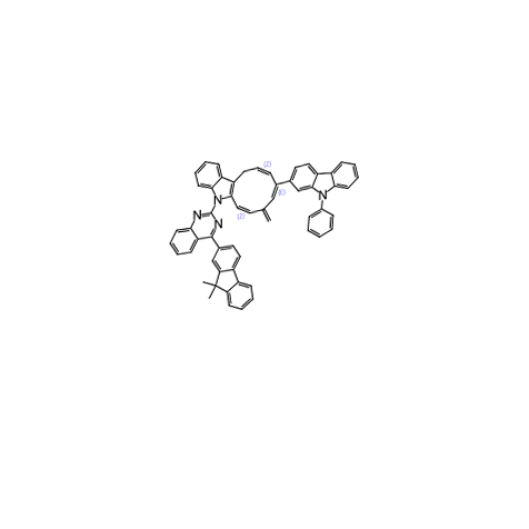 C=C1/C=C\c2c(c3ccccc3n2-c2nc(-c3ccc4c(c3)C(C)(C)c3ccccc3-4)c3ccccc3n2)C/C=C\C(c2ccc3c4ccccc4n(-c4ccccc4)c3c2)=C/1